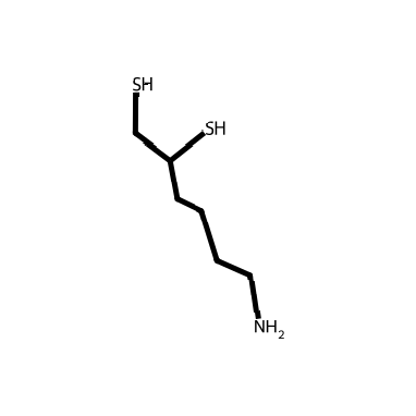 NCCCCC(S)CS